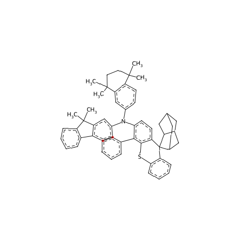 CC1(C)CCC(C)(C)c2cc(N(c3ccc4c(c3)C(C)(C)c3ccccc3-4)c3ccc4c(c3-c3ccccc3)Sc3ccccc3C43C4CC5CC(C4)C3C5)ccc21